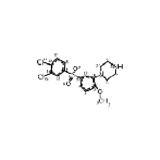 COc1ccc(S(=O)(=O)c2ccc(Cl)c(Cl)c2)cc1N1CCNCC1